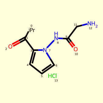 CC(C)C(=O)c1cccn1NC(=O)CN.Cl